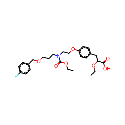 CCOC(=O)N(CCCOCc1ccc(F)cc1)CCOc1ccc(CC(OCC)C(=O)O)cc1